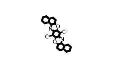 Clc1c2c(c(Cl)c3c1=Nc1c(ccc4ccccc14)O3)=Nc1c(ccc3ccccc13)O2